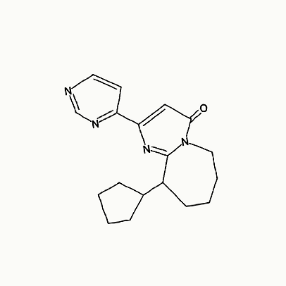 O=c1cc(-c2ccncn2)nc2n1CCCCC2C1CCCC1